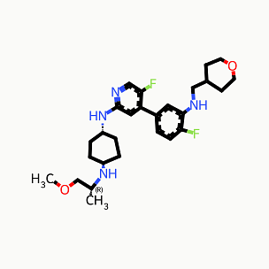 COC[C@@H](C)N[C@H]1CC[C@H](Nc2cc(-c3ccc(F)c(NCC4CCOCC4)c3)c(F)cn2)CC1